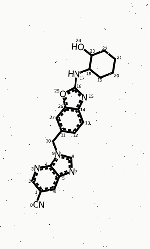 N#Cc1cnc2c(c1)ncn2Cc1ccc2nc(NC3CCCCC3O)oc2c1